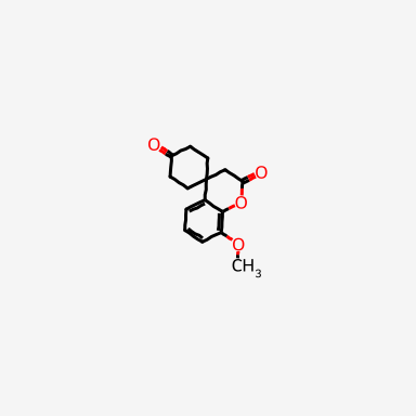 COc1cccc2c1OC(=O)CC21CCC(=O)CC1